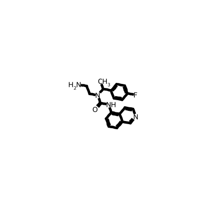 CC(c1ccc(F)cc1)N(CCN)C(=O)Nc1cccc2cnccc12